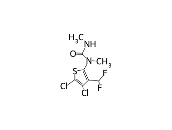 CNC(=O)N(C)c1sc(Cl)c(Cl)c1C(F)F